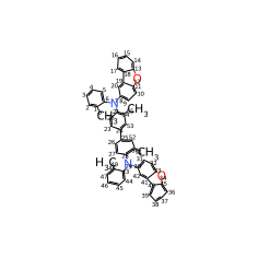 Cc1ccccc1N(c1ccc2oc3ccccc3c2c1)c1ccc(-c2ccc(N(c3ccc4oc5ccccc5c4c3)c3ccccc3C)c(C)c2)cc1C